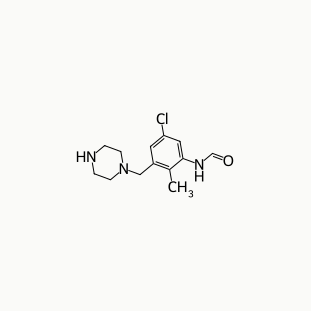 Cc1c(CN2CCNCC2)cc(Cl)cc1NC=O